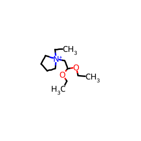 CCOC(C[N+]1(CC)CCCC1)OCC